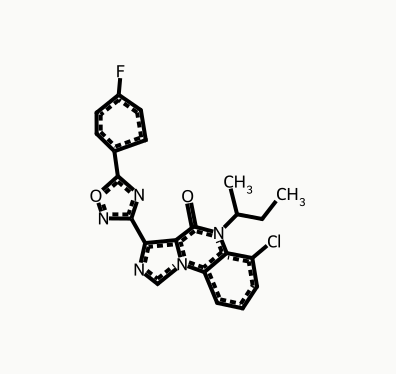 CCC(C)n1c(=O)c2c(-c3noc(-c4ccc(F)cc4)n3)ncn2c2cccc(Cl)c21